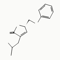 CC(C)CC1=C[C@H](COc2ccccc2)OC1=O